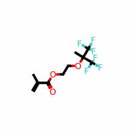 C=C(C)C(=O)OCCOC(C)(C(F)(F)F)C(F)(F)F